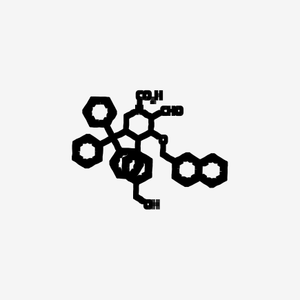 O=CC1C(OCc2ccc3ccccc3c2)C(c2ccc(CO)cc2)C(C(c2ccccc2)(c2ccccc2)c2ccccc2)CN1C(=O)O